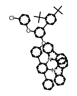 CC(C)(C)c1ccc(-c2cc(Oc3cccc(Cl)c3)cc(Oc3cccc(-c4ccc(-c5ccccc5)c(-n5c6ccccc6c6ccccc65)c4-n4c5ccccc5c5ccccc54)c3)c2)c(C(C)(C)C)c1